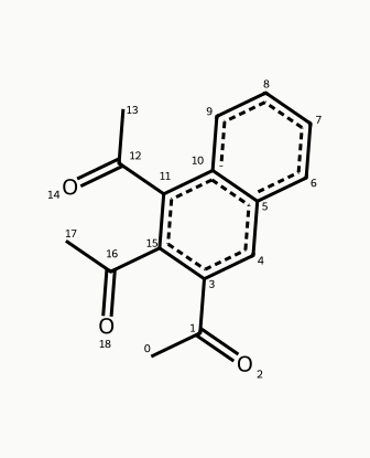 CC(=O)c1cc2ccccc2c(C(C)=O)c1C(C)=O